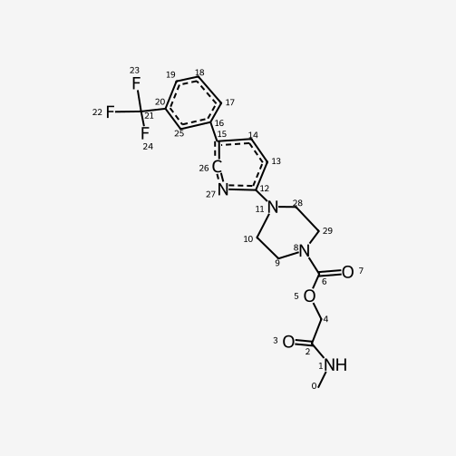 CNC(=O)COC(=O)N1CCN(c2ccc(-c3cccc(C(F)(F)F)c3)cn2)CC1